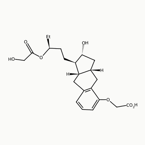 CC[C@@H](CC[C@@H]1[C@H]2Cc3cccc(OCC(=O)O)c3C[C@H]2C[C@H]1O)OC(=O)CO